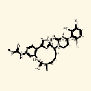 COC(=O)Nc1ccc2c(c1)NC(=O)C(C)CCCC(N1CC[C@H](c3c(F)ccc(Cl)c3F)NC1=O)c1nc-2c[nH]1